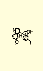 CCC1CN2CCC1C[C@H]2[C@H](CO)c1ccnc2ccc(OC)cc12